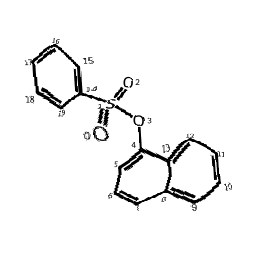 O=S(=O)(Oc1cccc2ccccc12)c1ccccc1